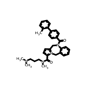 Cc1ccccc1-c1ccc(C(=O)N2Cc3ccc(C(=O)N(C)CCCN(C)C)n3Cc3ccccc32)cc1